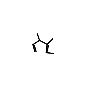 [CH]=CC(C)C(C)=CC